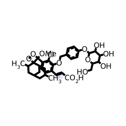 COC1(c2ccc(/C=C/C(=O)O)c(OCc3ccc(OC4OC(CO)C(O)C(O)C4O)cc3)c2Cl)OOC12C(C)CC1CC(C)CC2C1